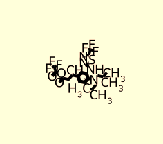 CC(C)CN(CC(C)C)c1ccc(C(C)CC(=O)OC(=O)C(F)(F)F)cc1Nc1nnc(C(F)(F)F)s1